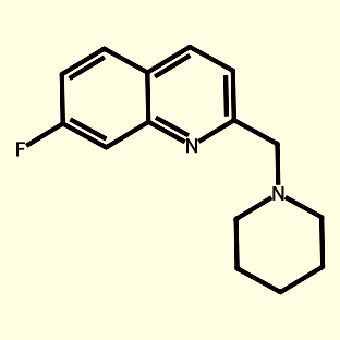 Fc1ccc2ccc(CN3CCCCC3)nc2c1